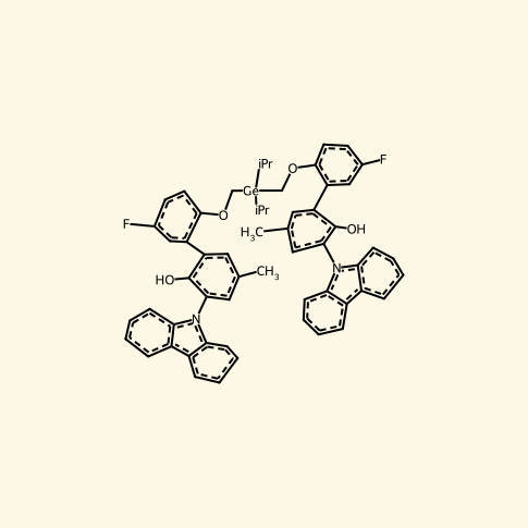 Cc1cc(-c2cc(F)ccc2O[CH2][Ge]([CH2]Oc2ccc(F)cc2-c2cc(C)cc(-n3c4ccccc4c4ccccc43)c2O)([CH](C)C)[CH](C)C)c(O)c(-n2c3ccccc3c3ccccc32)c1